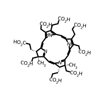 C[C@@]1(CC(=O)O)c2cc3nc(cc4[nH]c(cc5[nH]c(cc(n2)[C@H]1CCC(=O)O)c(CC(=O)O)c5CCC(=O)O)c(CCC(=O)O)c4CC(=O)O)[C@@](C)(CC(=O)O)[C@@H]3CCC(=O)O